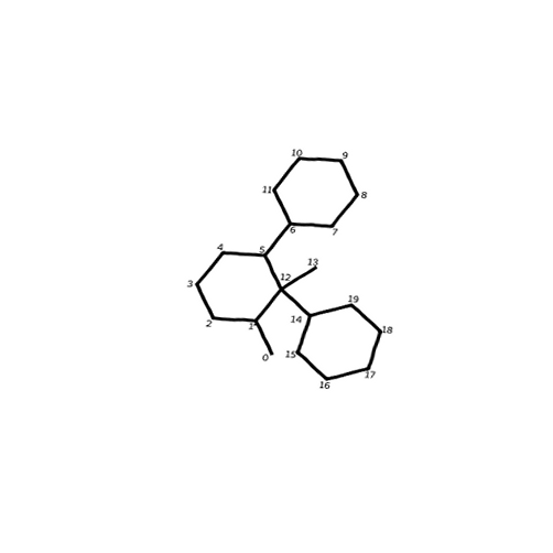 C[C]1CCCC(C2CCCCC2)C1(C)C1CCCCC1